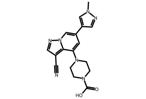 Cn1cc(-c2cc(N3CCN(C(=O)O)CC3)c3c(C#N)cnn3c2)cn1